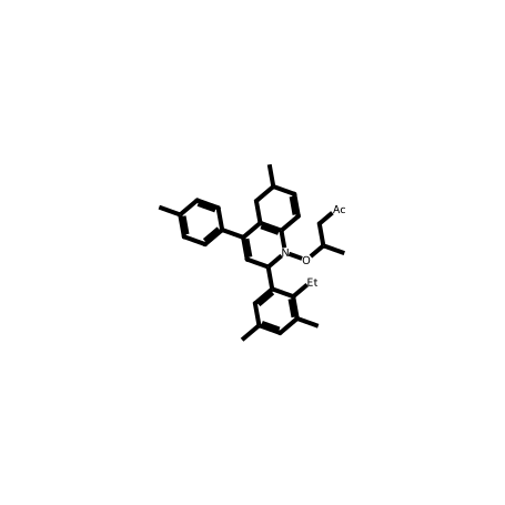 CCc1c(C)cc(C)cc1C1C=C(c2ccc(C)cc2)C2=C(C=CC(C)C2)N1OC(C)CC(C)=O